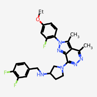 CCOc1ccc(-n2nc3c(N4CCC(NCc5ccc(F)c(F)c5)C4)nnc(C)c3c2C)c(F)c1